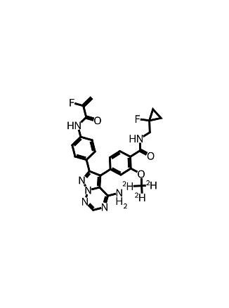 [2H]C([2H])([2H])Oc1cc(-c2c(-c3ccc(NC(=O)C(=C)F)cc3)nn3ncnc(N)c23)ccc1C(=O)NCC1(F)CC1